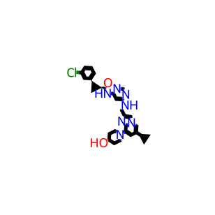 O=C(Nc1cc(NCc2cn3cc(C4CC4)cc(N4CCC(O)CC4)c3n2)ncn1)[C@H]1C[C@@H]1c1cccc(Cl)c1